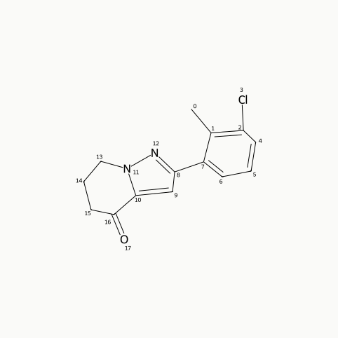 Cc1c(Cl)cccc1-c1cc2n(n1)CCCC2=O